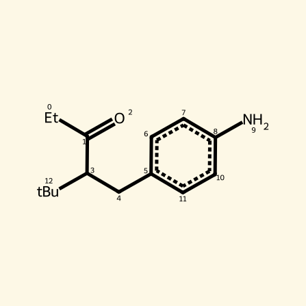 CCC(=O)C(Cc1ccc(N)cc1)C(C)(C)C